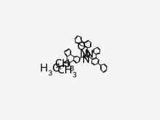 CC(C)(C)c1ccc2c3ccc(-c4nc(-c5ccc(-c6ccccc6)cc5-c5ccccc5)nc(-c5cccc6c5oc5ccccc56)n4)cc3c3ccccc3c2c1